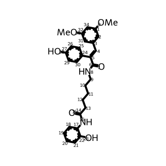 COc1cc(C=C(C(=O)NCCCCCC(=O)Nc2ccccc2O)c2ccc(O)cc2)cc(OC)c1